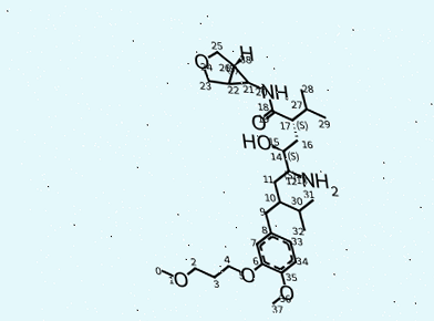 COCCCOc1cc(CC(C[C@H](N)[C@@H](O)C[C@H](C(=O)NC2C3COC[C@@H]32)C(C)C)C(C)C)ccc1OC